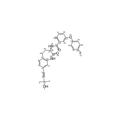 CC(C)(O)C#Cc1ccc2c(c1)NC(=O)[C@H](NC(=O)c1cc(Oc3ccc(F)cc3)ccn1)CC2